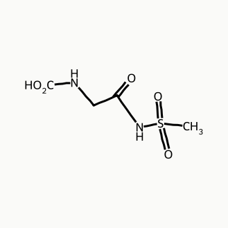 CS(=O)(=O)NC(=O)CNC(=O)O